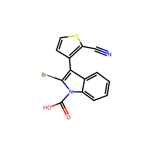 N#Cc1sccc1-c1c(Br)n(C(=O)O)c2ccccc12